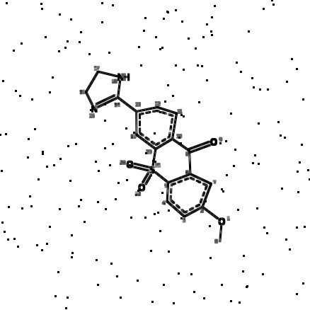 COc1ccc2c(c1)C(=O)c1ccc(C3=NCCN3)cc1S2(=O)=O